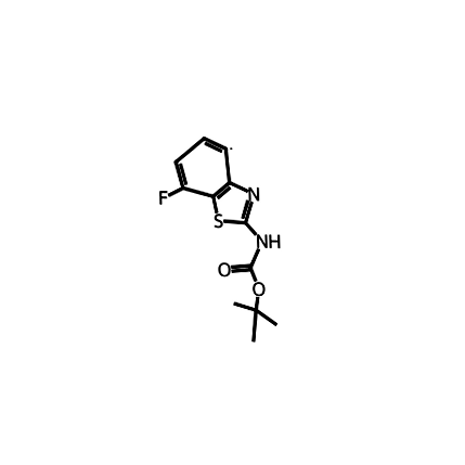 CC(C)(C)OC(=O)Nc1nc2[c]ccc(F)c2s1